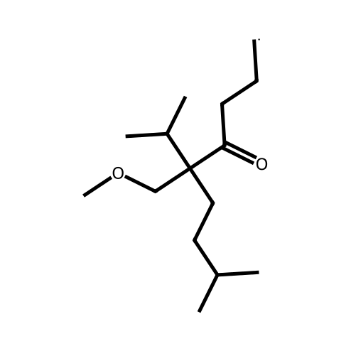 [CH2]CCC(=O)C(CCC(C)C)(COC)C(C)C